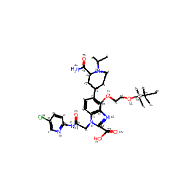 CC(C)N1CCC(c2ccc3c(nc(C(=O)O)n3CC(=O)Nc3ccc(Cl)cn3)c2OCCO[Si](C)(C)C(C)(C)C)CC1C(N)=O